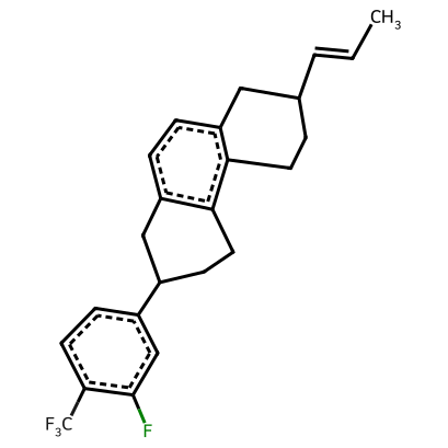 C/C=C/C1CCc2c(ccc3c2CCC(c2ccc(C(F)(F)F)c(F)c2)C3)C1